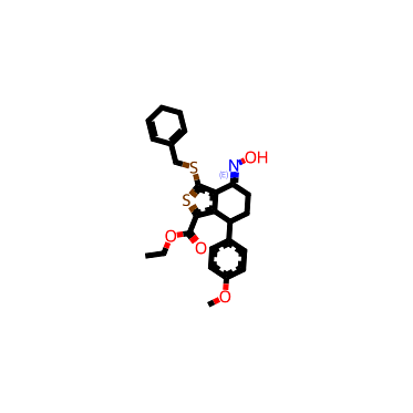 CCOC(=O)c1sc(SCC2=CCCC=C2)c2c1C(c1ccc(OC)cc1)CC/C2=N\O